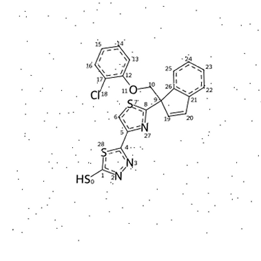 Sc1nnc(-c2csc(C3(COc4ccccc4Cl)C=Cc4ccccc43)n2)s1